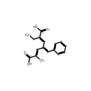 CCC(=CC(=Cc1ccccc1)C=C(C)C(=O)O)C(=O)O